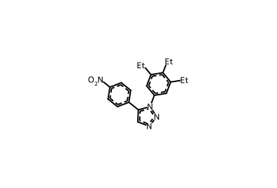 CCc1cc(-n2nncc2-c2ccc([N+](=O)[O-])cc2)cc(CC)c1CC